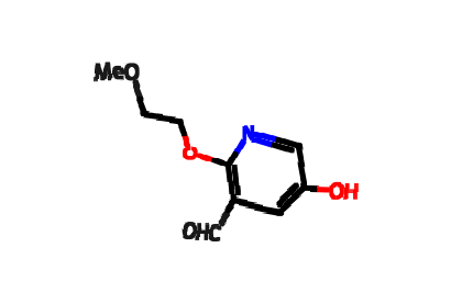 COCCOc1ncc(O)cc1C=O